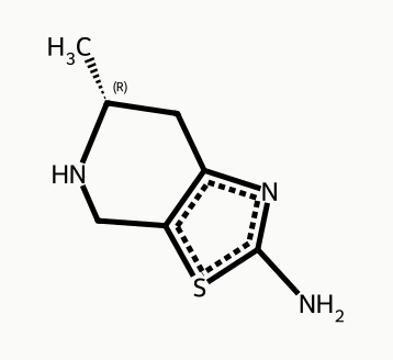 C[C@@H]1Cc2nc(N)sc2CN1